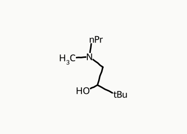 CCCN(C)CC(O)C(C)(C)C